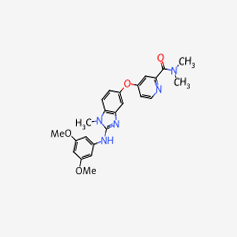 COc1cc(Nc2nc3cc(Oc4ccnc(C(=O)N(C)C)c4)ccc3n2C)cc(OC)c1